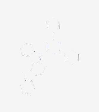 c1ccc(C2N=C(n3c4ccccc4c4c5sc6ccccc6c5ccc43)NC(c3ccccc3)N2)cc1